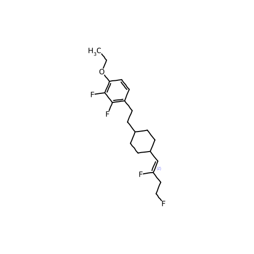 CCOc1ccc(CCC2CCC(/C=C(\F)CCF)CC2)c(F)c1F